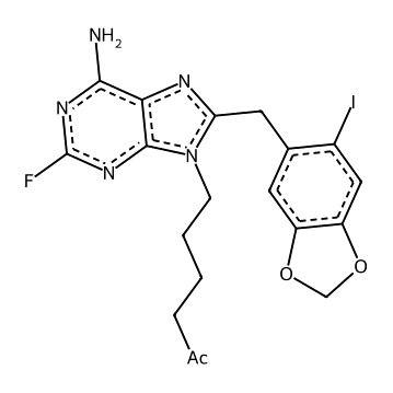 CC(=O)CCCCn1c(Cc2cc3c(cc2I)OCO3)nc2c(N)nc(F)nc21